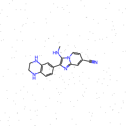 CNc1c(-c2ccc3c(c2)NCCN3)nc2cc(C#N)ccn12